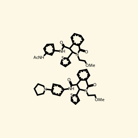 COCCN1C(=O)c2ccccc2C(C(=O)Nc2ccc(N3CCCCC3)cc2)C1c1cccs1.COCCN1C(=O)c2ccccc2C(C(=O)Nc2cccc(NC(C)=O)c2)C1c1cccs1